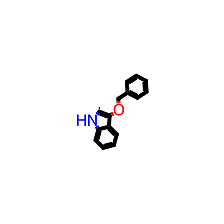 [c]1[nH]c2ccccc2c1OCc1ccccc1